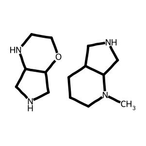 C1COC2CNCC2N1.CN1CCCC2CNCC21